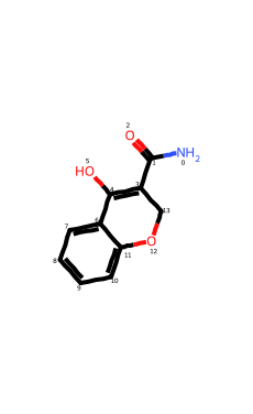 NC(=O)C1=C(O)c2ccccc2OC1